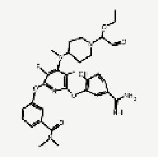 CCOC(C=O)N1CCC(N(C)c2c(F)c(Oc3cccc(C(=O)N(C)C)c3)nc(Oc3cc(C(=N)N)ccc3O)c2F)CC1